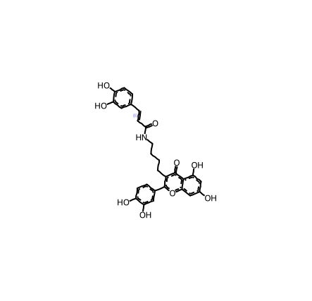 O=C(/C=C/c1ccc(O)c(O)c1)NCCCCc1c(-c2ccc(O)c(O)c2)oc2cc(O)cc(O)c2c1=O